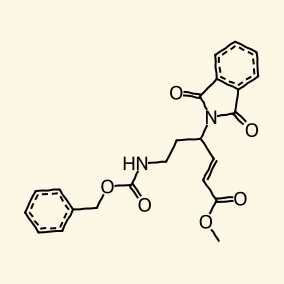 COC(=O)C=CC(CCNC(=O)OCc1ccccc1)N1C(=O)c2ccccc2C1=O